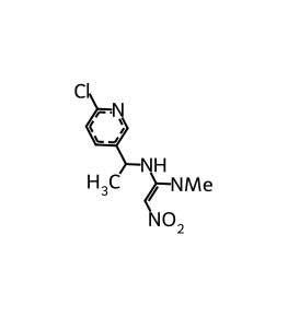 CNC(=C[N+](=O)[O-])NC(C)c1ccc(Cl)nc1